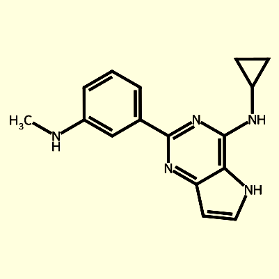 CNc1cccc(-c2nc(NC3CC3)c3[nH]ccc3n2)c1